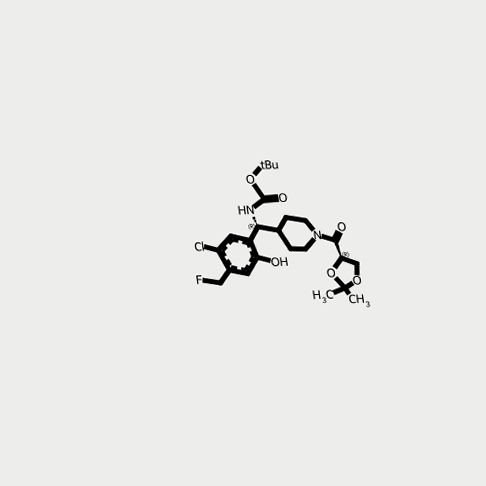 CC(C)(C)OC(=O)N[C@@H](c1cc(Cl)c(CF)cc1O)C1CCN(C(=O)[C@H]2COC(C)(C)O2)CC1